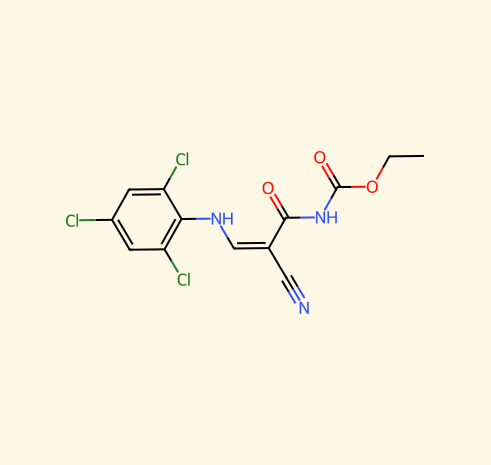 CCOC(=O)NC(=O)/C(C#N)=C\Nc1c(Cl)cc(Cl)cc1Cl